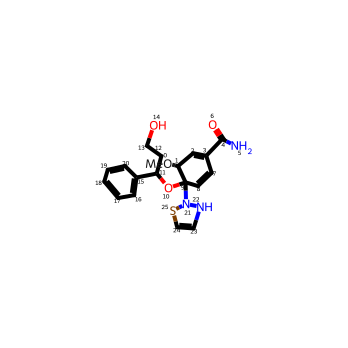 COC1C=C(C(N)=O)C=CC1(OC(CCO)c1ccccc1)N1NC=CS1